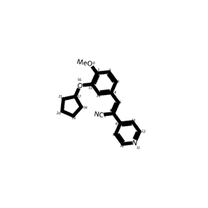 COc1ccc(/C=C(\C#N)c2ccncc2)cc1OC1CCCC1